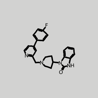 O=c1[nH]c2ccccc2n1C1CCN(Cc2cc(-c3ccc(F)cc3)ccn2)CC1